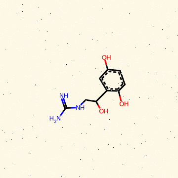 N=C(N)NCC(O)c1cc(O)ccc1O